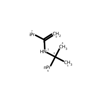 C=C(NC(C)(C)CCC)C(C)C